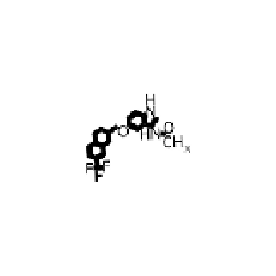 CC(=O)Nc1c[nH]c2ccc(OCC3CCc4ccc(C(F)(F)F)cc4C3)cc12